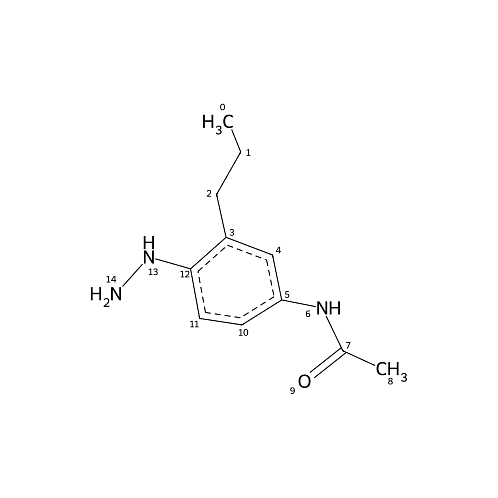 CCCc1cc(NC(C)=O)ccc1NN